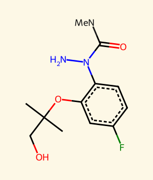 CNC(=O)N(N)c1ccc(F)cc1OC(C)(C)CO